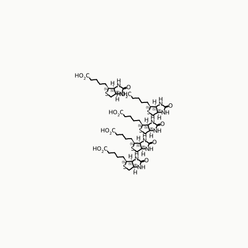 O=C(O)CCCC[C@@H]1SC[C@@H]2NC(=O)N[C@@H]21.O=C(O)CCCC[C@@H]1SC[C@@H]2NC(=O)N[C@@H]21.O=C(O)CCCC[C@@H]1SC[C@@H]2NC(=O)N[C@@H]21.O=C(O)CCCC[C@@H]1SC[C@@H]2NC(=O)N[C@@H]21.O=C(O)CCCC[C@@H]1SC[C@@H]2NC(=O)N[C@@H]21